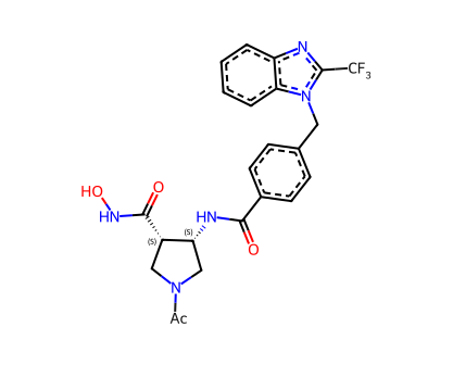 CC(=O)N1C[C@H](C(=O)NO)[C@H](NC(=O)c2ccc(Cn3c(C(F)(F)F)nc4ccccc43)cc2)C1